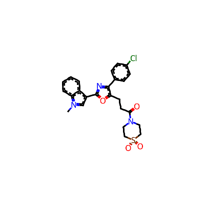 Cn1cc(-c2nc(-c3ccc(Cl)cc3)c(CCC(=O)N3CCS(=O)(=O)CC3)o2)c2ccccc21